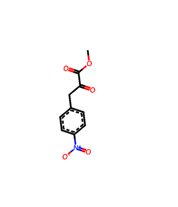 COC(=O)C(=O)Cc1ccc([N+](=O)[O-])cc1